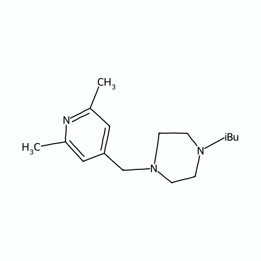 CCC(C)N1CCN(Cc2cc(C)nc(C)c2)CC1